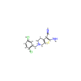 CNc1sc2c(c1C#N)CCN(Cc1cc(Cl)ccc1Cl)C2